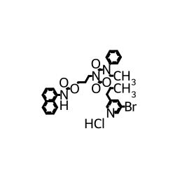 CCN(C(=O)N(CCCOC(=O)Nc1cccc2ccccc12)C(=O)OC(C)Cc1cncc(Br)c1)c1ccccc1.Cl